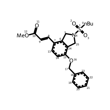 CCCCS(=O)(=O)N1Cc2c(C=CC(=O)OC)ccc(OCc3ccccc3)c2C1